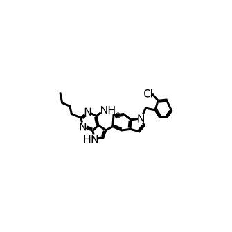 CCCCc1nc(N)c2c(-c3ccc4c(ccn4Cc4ccccc4Cl)c3)c[nH]c2n1